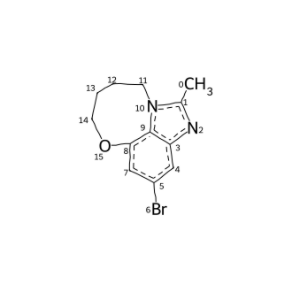 Cc1nc2cc(Br)cc3c2n1CCCCO3